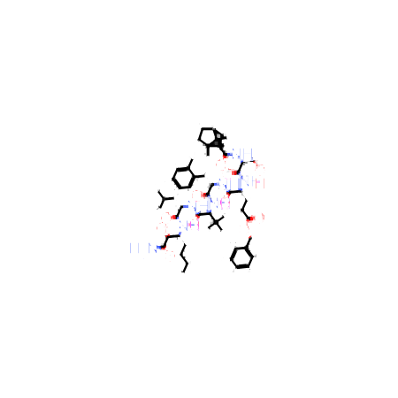 CCCC[C@H](NC(=O)[C@H](CC(C)C)NC(=O)[C@@H](NC(=O)[C@H](Cc1ccccc1C)NC(=O)[C@H](CCC(=O)OCc1ccccc1)NC(=O)[C@H](CO)NC(=O)C1CC2CCC1(C)C2(C)C)C(C)(C)C)C(=O)C(N)=O